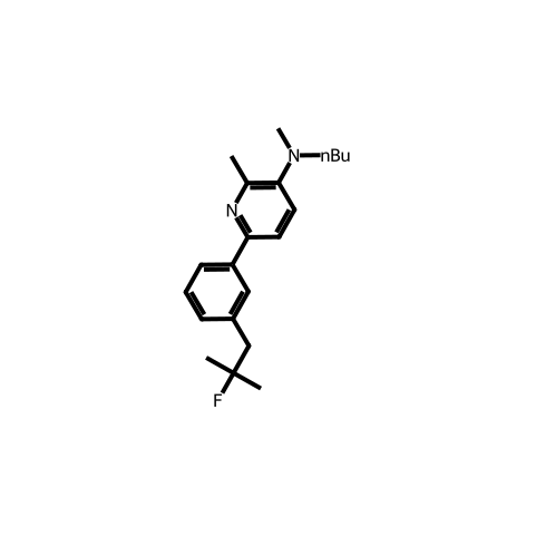 CCCCN(C)c1ccc(-c2cccc(CC(C)(C)F)c2)nc1C